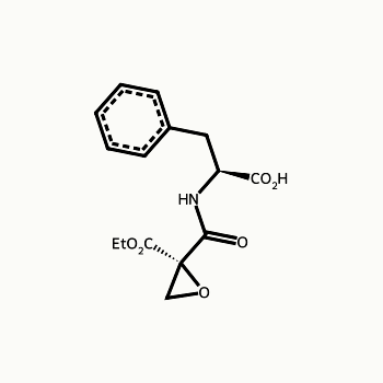 CCOC(=O)[C@@]1(C(=O)N[C@@H](Cc2ccccc2)C(=O)O)CO1